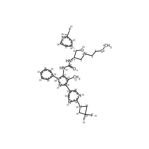 COCCN1C[C@@H](NC(=O)Nc2c(C)c(-c3cnc(N4CC(F)(F)C4)nc3)nn2-c2ccccc2)[C@H](c2ccnc(F)c2)O1